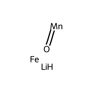 [Fe].[LiH].[O]=[Mn]